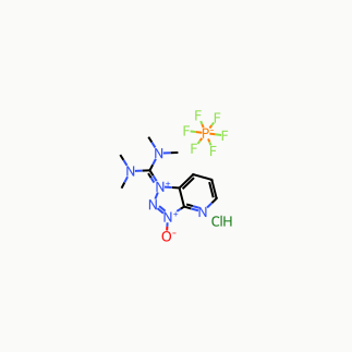 CN(C)C(N(C)C)=[N+]1N=[N+]([O-])c2ncccc21.Cl.F[P-](F)(F)(F)(F)F